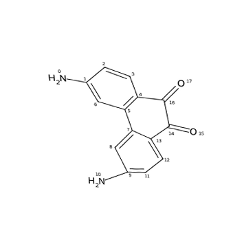 Nc1ccc2c(c1)-c1cc(N)ccc1C(=O)C2=O